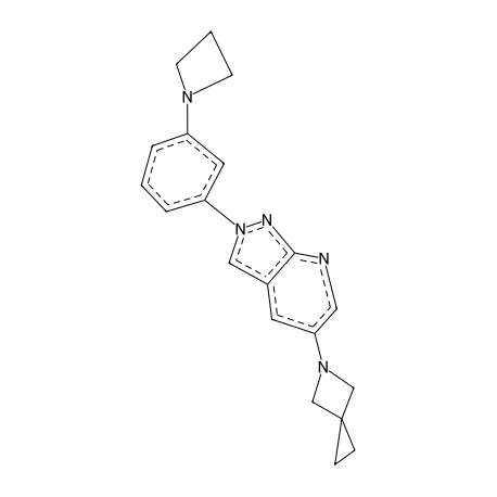 c1cc(N2CCC2)cc(-n2cc3cc(N4CC5(CC5)C4)cnc3n2)c1